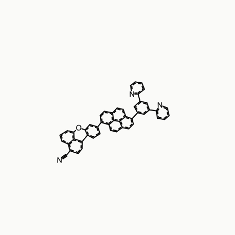 N#Cc1ccc2c3c(cccc13)Oc1cc(-c3ccc4ccc5c(-c6cc(-c7ccccn7)cc(-c7ccccn7)c6)ccc6ccc3c4c65)ccc1-2